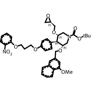 COc1cc(CO[C@H]2CN(C(=O)OC(C)(C)C)C[C@@H](OC[C@H]3CO3)[C@@H]2c2ccc(OCCCOc3ccccc3[N+](=O)[O-])cc2)cc2ccccc12